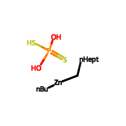 CCCCCCC[CH2][Zn][CH2]CCC.OP(O)(=S)S